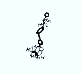 C[C@@H](O)[C@H](NC(=O)c1ccc(C#Cc2ccc(NC(=O)CNC3CCCC3)cc2)cc1)C(=O)NO